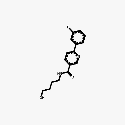 O=C(NCCCCO)c1ccc(-c2cccc(F)c2)nc1